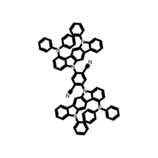 N#Cc1cc(-n2c3cc4c5ccccc5n(-c5ccccc5)c4cc3c3c(N(c4ccccc4)c4ccccc4)cccc32)c(C#N)cc1-n1c2cc3c4ccccc4n(-c4ccccc4)c3cc2c2c(N(c3ccccc3)c3ccccc3)cccc21